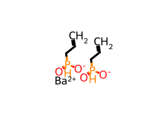 C=CC[PH](=O)[O-].C=CC[PH](=O)[O-].[Ba+2]